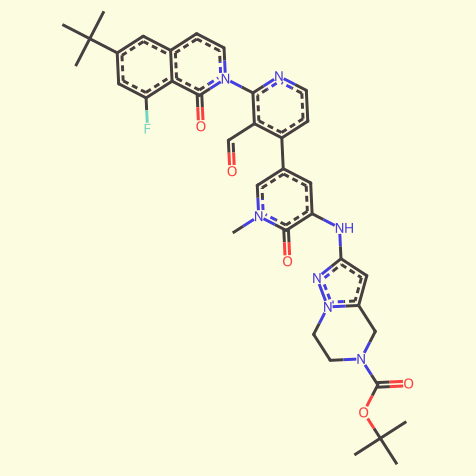 Cn1cc(-c2ccnc(-n3ccc4cc(C(C)(C)C)cc(F)c4c3=O)c2C=O)cc(Nc2cc3n(n2)CCN(C(=O)OC(C)(C)C)C3)c1=O